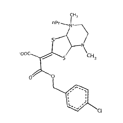 CCC[N+]1(C)CCN(C)C2SC(=C(C(=O)[O-])C(=O)OCc3ccc(Cl)cc3)SC21